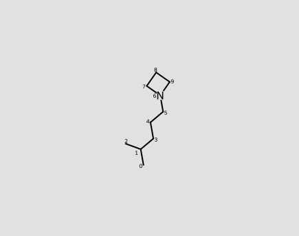 CC(C)CCCN1CCC1